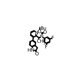 CC(c1ncccc1-c1ccc2c(c1)CC(=O)N2)N(C(=O)OC(C)(C)C)c1cc(F)cc(F)c1